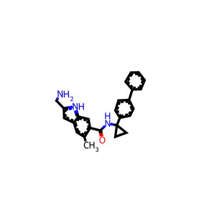 Cc1cc2cc(CN)[nH]c2cc1C(=O)NC1(c2ccc(-c3ccccc3)cc2)CC1